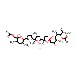 CCC(=O)OC[C@]1(O)O[C@H]([C@H]2C[C@H](C)[C@H]([C@]3(C)CC[C@H]([C@]4(C)CC[C@]5(C[C@H](O)[C@@H](C)[C@@H]([C@@H](C)[C@@H](OC(=O)CC)[C@H](C)C(=O)[O-])O5)O4)O3)O2)[C@@H](C)C[C@H]1C.[K+]